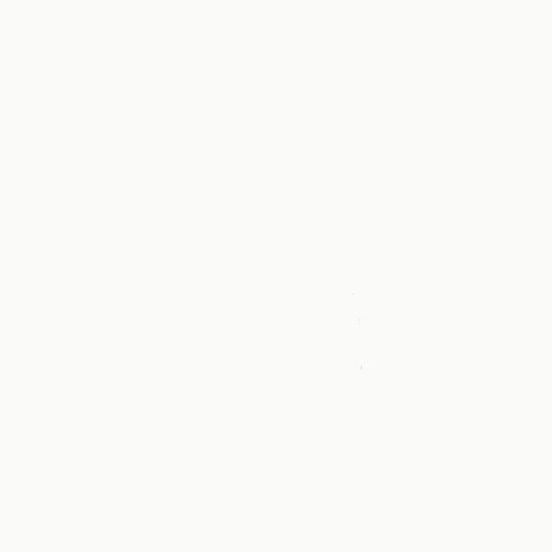 CCC(C)(CCCCCC(C)CC(C)(C)C)OP=O